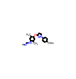 [H]/N=C/Nc1cc(C)c(Oc2ccn(-c3ccc(OC)cc3)n2)cc1C